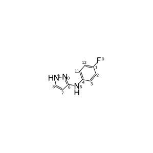 Fc1ccc(Nc2cc[nH]n2)cc1